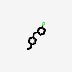 C=Cc1ccc(Cc2cccc(Cl)c2)cc1